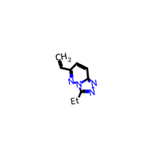 C=Cc1ccc2nnc(CC)n2n1